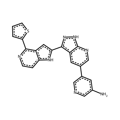 Nc1cncc(-c2cnc3[nH]nc(-c4cc5c(-c6cccs6)nccc5[nH]4)c3c2)c1